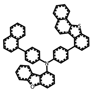 c1ccc2c(-c3ccc(N(c4ccc(-c5cccc6sc7c8ccccc8ccc7c56)cc4)c4cccc5oc6ccccc6c45)cc3)cccc2c1